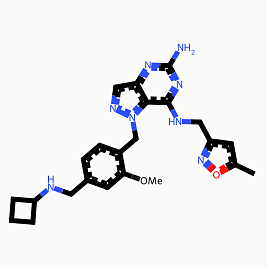 COc1cc(CNC2CCC2)ccc1Cn1ncc2nc(N)nc(NCc3cc(C)on3)c21